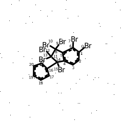 Brc1ccc2c(c1Br)C(Br)(Br)C(Br)(Br)C2(Br)c1ccccc1